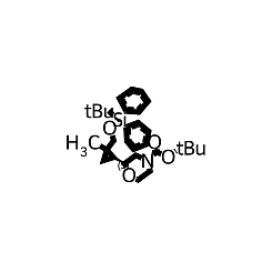 CC(C)(C)OC(=O)N1CCO[C@@H](C2CC2(C)CO[Si](c2ccccc2)(c2ccccc2)C(C)(C)C)C1